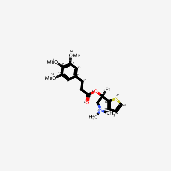 CCC(CN(C)C)(OC(=O)CCc1cc(OC)c(OC)c(OC)c1)c1cccs1